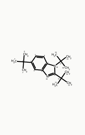 CC(C)(C)c1ccc2c(c1)nc(C(C)(C)C)n2C(C)(C)C